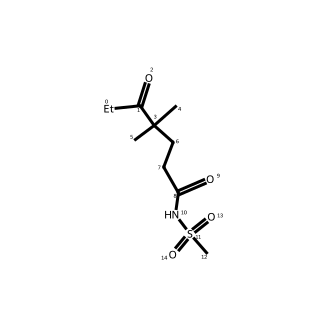 CCC(=O)C(C)(C)CCC(=O)NS(C)(=O)=O